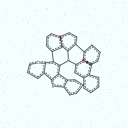 c1ccc(-c2ccccc2N(c2ccc3ccccc3c2)c2c(-c3ccccc3)c3ccccc3c3sc4ccccc4c23)cc1